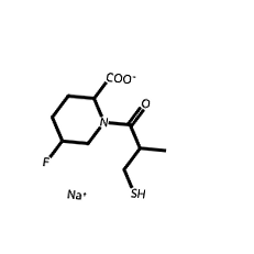 CC(CS)C(=O)N1CC(F)CCC1C(=O)[O-].[Na+]